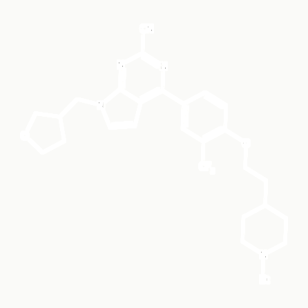 CCN1CCC(CCOc2ccc(-c3nc(C#N)nc4c3ccn4CC3CCOC3)cc2C(F)(F)F)CC1